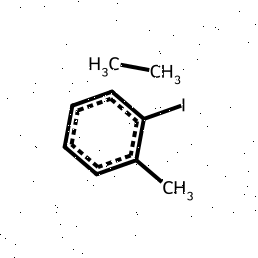 CC.Cc1ccccc1I